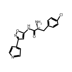 N[C@@H](Cc1ccc(Cl)cc1)C(=O)Nc1cc(-c2ccncc2)no1